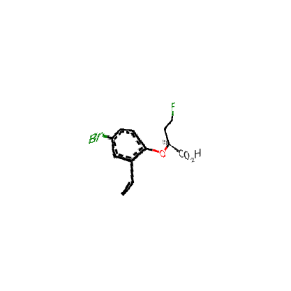 C=Cc1cc(Br)ccc1O[C@@H](CCF)C(=O)O